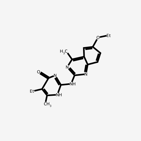 CCOc1ccc2nc(Nc3nc(=O)c(CC)c(C)[nH]3)nc(C)c2c1